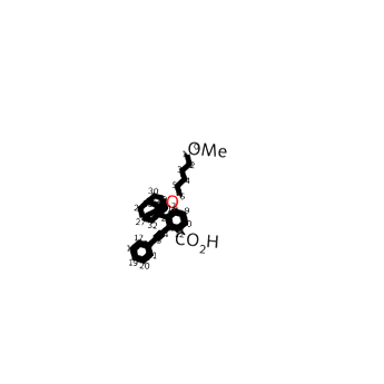 COCCCCCCOc1ccc(C(=O)O)c(C#Cc2ccccc2)c1C12CC3CC(CC(C3)C1)C2